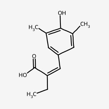 CCC(=Cc1cc(C)c(O)c(C)c1)C(=O)O